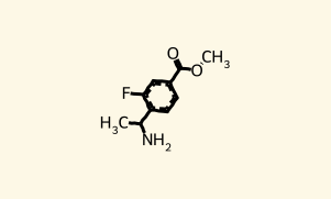 COC(=O)c1ccc(C(C)N)c(F)c1